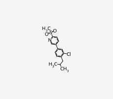 CC(C)Cc1ccc(-c2ccc(S(C)(=O)=O)nc2)cc1Cl